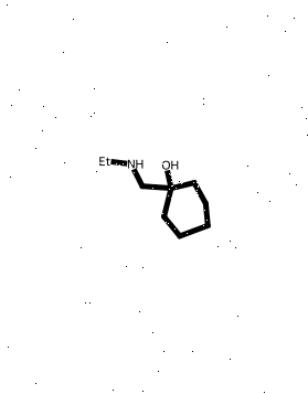 CCNCC1(O)CCCCC1